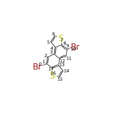 Brc1cc2c3ccsc3c(Br)cc2c2ccsc12